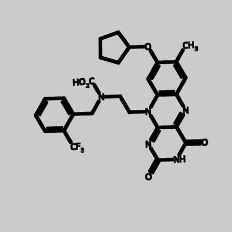 Cc1cc2nc3c(=O)[nH]c(=O)nc-3n(CCN(Cc3ccccc3C(F)(F)F)C(=O)O)c2cc1OC1CCCC1